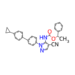 CC(OC(=O)Nc1c(C#N)cnn1-c1ccc(-c2ccc(C3CC3)cc2)cc1)c1ccccc1